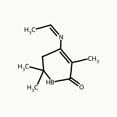 C/C=N\C1=C(C)C(=O)BC(C)(C)C1